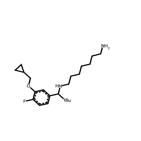 CC(C)(C)C(NCCCCCCCN)c1ccc(F)c(OCC2CC2)c1